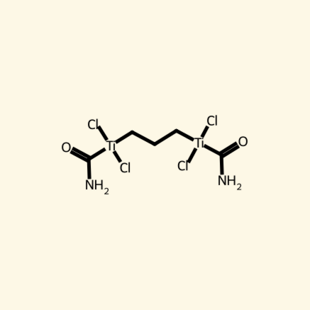 N[C](=O)[Ti]([Cl])([Cl])[CH2]C[CH2][Ti]([Cl])([Cl])[C](N)=O